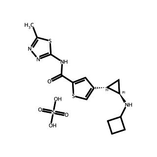 Cc1nnc(NC(=O)c2cc([C@@H]3C[C@H]3NC3CCC3)cs2)s1.O=S(=O)(O)O